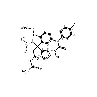 COCOc1ccc(N(C(=O)OC(C)(C)C)c2ccc(F)cc2)cc1C(CC(=O)CC(=O)OC)(N[S+]([O-])C(C)(C)C)c1ccsc1